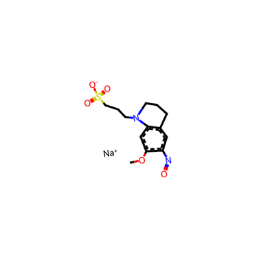 COc1cc2c(cc1N=O)CCCN2CCCS(=O)(=O)[O-].[Na+]